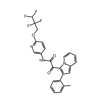 Cc1ccccc1-c1cc2ccccn2c1C(=O)C(=O)Nc1ccc(OCC(F)(F)C(F)F)nc1